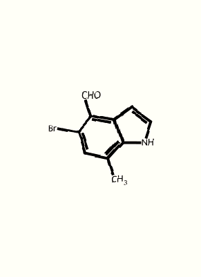 Cc1cc(Br)c(C=O)c2cc[nH]c12